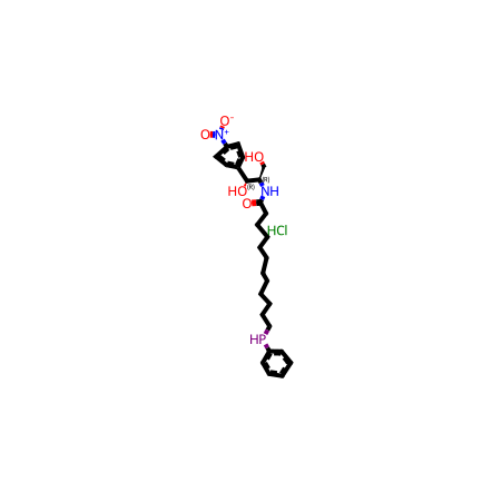 Cl.O=C(CCCCCCCCCCCPc1ccccc1)N[C@H](CO)[C@H](O)c1ccc([N+](=O)[O-])cc1